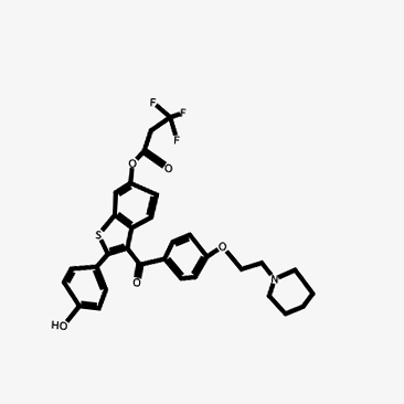 O=C(CC(F)(F)F)Oc1ccc2c(C(=O)c3ccc(OCCN4CCCCC4)cc3)c(-c3ccc(O)cc3)sc2c1